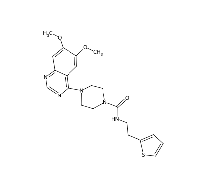 COc1cc2ncnc(N3CCN(C(=O)NCCc4cccs4)CC3)c2cc1OC